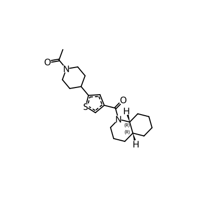 CC(=O)N1CCC(c2cc(C(=O)N3CCC[C@H]4CCCC[C@H]43)cs2)CC1